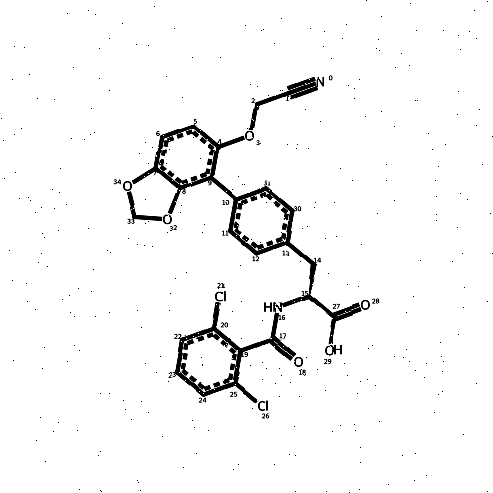 N#CCOc1ccc2c(c1-c1ccc(C[C@H](NC(=O)c3c(Cl)cccc3Cl)C(=O)O)cc1)OCO2